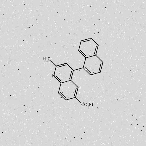 CCOC(=O)c1ccc2nc(C)cc(-c3cccc4ccccc34)c2c1